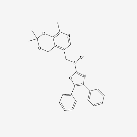 Cc1ncc(C[S+]([O-])c2nc(-c3ccccc3)c(-c3ccccc3)o2)c2c1OC(C)(C)OC2